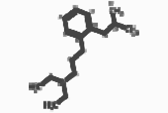 CCN(CC)CCCc1ccccc1CC(C)C